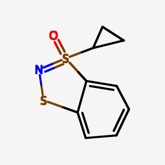 O=S1(C2CC2)=NSc2ccccc21